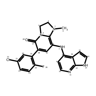 CN1CCn2c1c(Nc1ccnc3[nH]ccc13)cc(-c1cc(Cl)ccc1F)c2=O